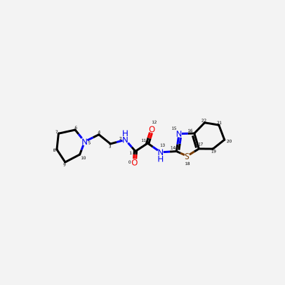 O=C(NCCN1CCCCC1)C(=O)Nc1nc2c(s1)CCCC2